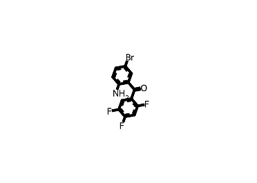 Nc1ccc(Br)cc1C(=O)c1cc(F)c(F)cc1F